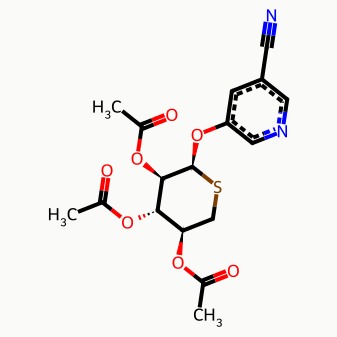 CC(=O)O[C@@H]1[C@@H](OC(C)=O)[C@@H](Oc2cncc(C#N)c2)SC[C@H]1OC(C)=O